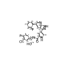 O=C(N[C@H](CO)c1ccc(F)c(Cl)c1)c1cc(-c2n[nH]c3ncc(-c4ccccc4F)cc23)c[nH]1